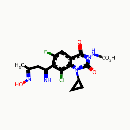 CC(CC(=N)c1c(F)cc2c(=O)n(NC(=O)O)c(=O)n(C3CC3)c2c1Cl)=NO